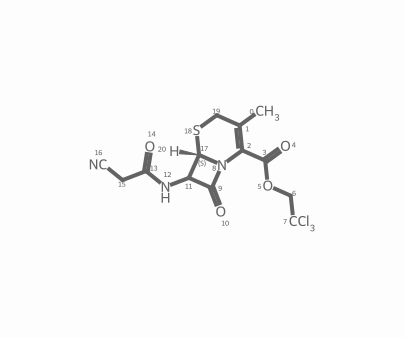 CC1=C(C(=O)OCC(Cl)(Cl)Cl)N2C(=O)C(NC(=O)CC#N)[C@@H]2SC1